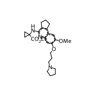 CCOC(=O)C1(Nc2nc3cc(OCCCN4CCCC4)c(OC)cc3c3c2CCC3)CC1